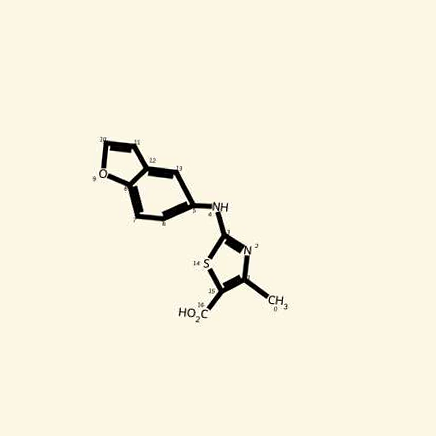 Cc1nc(Nc2ccc3occc3c2)sc1C(=O)O